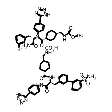 CC(C)(C)OC(=O)NC[C@H]1CC[C@H](C(=O)N(c2ccc(-c3nnn[nH]3)cc2)[C@@H](Cc2cccc(Br)c2)C(N)=O)CC1.NS(=O)(=O)c1cccc(-c2cccc(C[C@H](NC(=O)[C@H]3CC[C@H](CNC(=O)O)CC3)C(=O)Nc3ccc(-c4nnn[nH]4)cc3)c2)c1